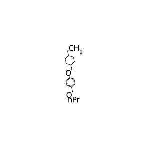 C=CC1CCC(COc2ccc(COCCC)cc2)CC1